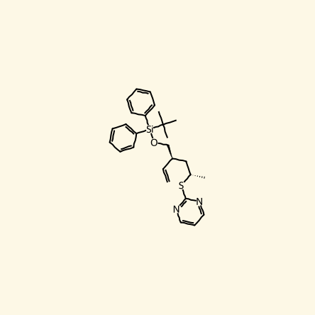 C=C[C@@H](CO[Si](c1ccccc1)(c1ccccc1)C(C)(C)C)C[C@H](C)Sc1ncccn1